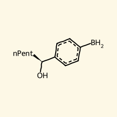 Bc1ccc([C@@H](O)CCCCC)cc1